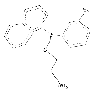 CCc1cccc(B(OCCN)c2cccc3ccccc23)c1